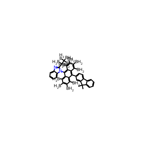 Bc1c(B)c(B)c2c(-n3c(C(B)(B)C(B)(B)B)nc4ccccc43)c3c(B)c(B)c(B)c(B)c3c(-c3ccc4c(c3)C(C)(C)c3ccccc3-4)c2c1B